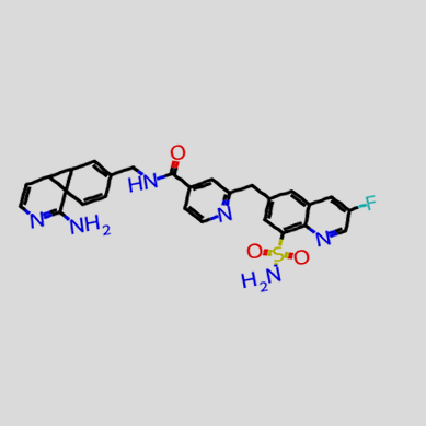 NC1=NC=CC2C3C=C(CNC(=O)c4ccnc(Cc5cc(S(N)(=O)=O)c6ncc(F)cc6c5)c4)C=CC123